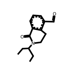 CCC(CC)N1CCc2c(C=O)cccc2C1=O